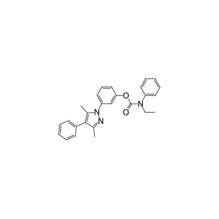 CCN(C(=O)Oc1cccc(-n2nc(C)c(-c3ccccc3)c2C)c1)c1ccccc1